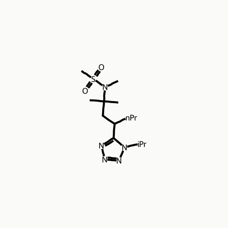 CCCC(CC(C)(C)N(C)S(C)(=O)=O)c1nnnn1C(C)C